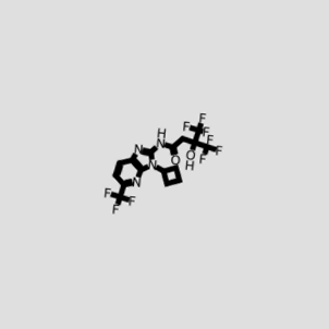 O=C(CC(O)(C(F)(F)F)C(F)(F)F)Nc1nc2ccc(C(F)(F)F)nc2n1C1CCC1